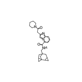 O=C(NCC12CC3CC3C3(CC3C1)C2)c1cccc2nc(CC(=O)N3CCCCC3)cn12